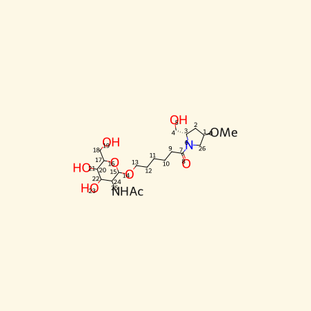 CO[C@@H]1C[C@@H](CO)N(C(=O)CCCCCOC2OC(CO)C(O)C(O)C2NC(C)=O)C1